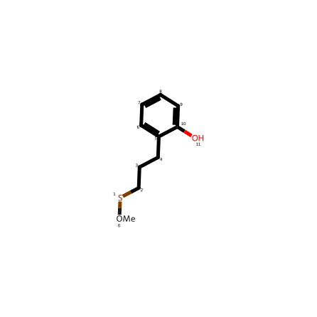 COSCCCc1ccccc1O